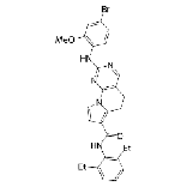 CCc1cccc(CC)c1NC(=O)c1ccn2c1CCc1cnc(Nc3ccc(Br)cc3OC)nc1-2